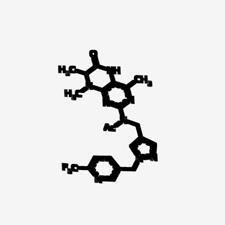 CC(=O)N(Cc1cnn(Cc2ccc(C(F)(F)F)nc2)c1)c1nc(C)c2c(n1)N(C)C(C)C(=O)N2